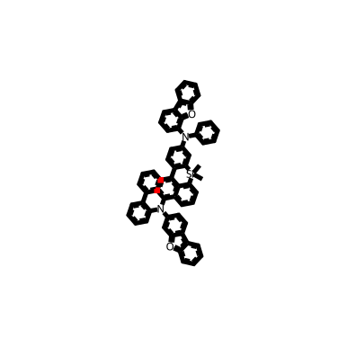 C[Si]1(C)c2cc(N(c3ccccc3)c3cccc4c3oc3ccccc34)ccc2-c2ccc(N(c3ccc4c(c3)oc3ccccc34)c3ccccc3-c3ccccc3)c3cccc1c23